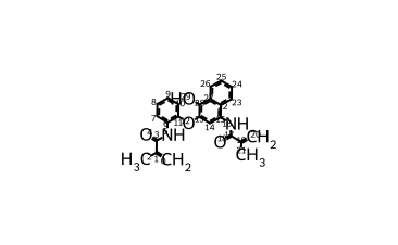 C=C(C)C(=O)Nc1ccccc1Oc1cc(NC(=O)C(=C)C)c2ccccc2c1O